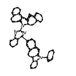 c1ccc(-n2c3ccccc3c3cc4cc(-c5nc(-n6c7cc8ccccc8cc7c7c8ccccc8ccc76)nc6ccccc56)ccc4cc32)cc1